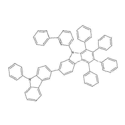 c1ccc(-c2cccc(-n3c4cc(-c5ccc6c(c5)c5ccccc5n6-c5ccccc5)ccc4c4c(-c5ccccc5)c(-c5ccccc5)c(-c5ccccc5)c(-c5ccccc5)c43)c2)cc1